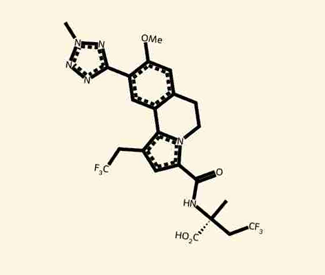 COc1cc2c(cc1-c1nnn(C)n1)-c1c(CC(F)(F)F)cc(C(=O)N[C@@](C)(CC(F)(F)F)C(=O)O)n1CC2